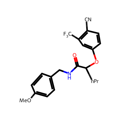 CCCC(Oc1ccc(C#N)c(C(F)(F)F)c1)C(=O)NCc1ccc(OC)cc1